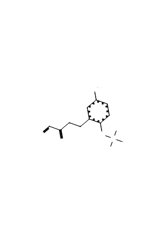 C=CC(=O)CCc1cc(OC)ccc1O[Si](CC)(CC)CC